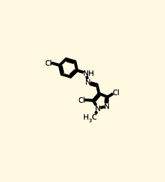 Cn1nc(Cl)c(C=NNc2ccc(Cl)cc2)c1Cl